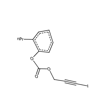 CCCc1ccccc1OC(=O)OCC#CI